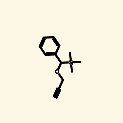 C#CCOC(c1ccccc1)[Si](C)(C)C